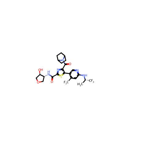 C[C@H](Nc1cc(C(F)(F)F)c(-c2sc(C(=O)N[C@@H]3COC[C@H]3O)nc2C(=O)N2C3CCC2CC3)cn1)C(F)(F)F